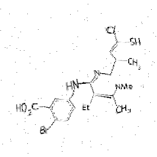 CCC(=C(\C)NC)/C(=N\CC(C)/C=C(\S)Cl)Nc1ccc(Br)c(C(=O)O)c1